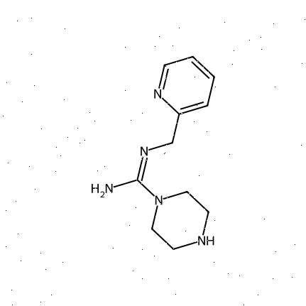 NC(=NCc1ccccn1)N1CCNCC1